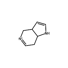 C1=CC2C[N+]=CCC2N1